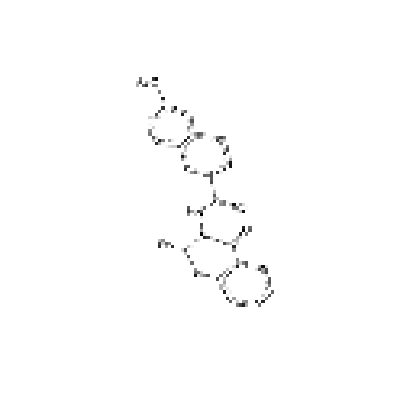 CCCC(CC)N(NC(=O)c1ccc2cc(OC(C)=O)ccc2c1)C(=O)c1ccccc1